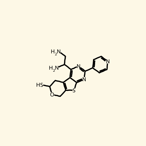 NCC(N)c1nc(-c2ccncc2)nc2sc3c(c12)CC(S)OC3